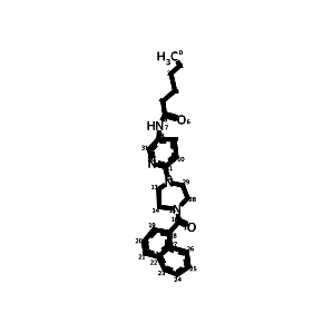 CCCCCC(=O)Nc1ccc(N2CCN(C(=O)c3cccc4ccccc34)CC2)nc1